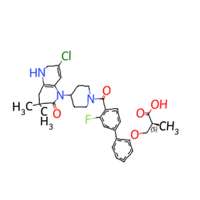 C[C@@H](COc1ccccc1-c1ccc(C(=O)N2CCC(N3C(=O)C(C)(C)CC4=C3C=C(Cl)CN4)CC2)c(F)c1)C(=O)O